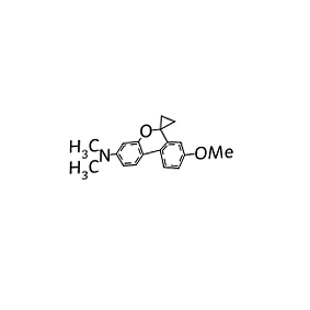 COc1ccc2c(c1)C1(CC1)Oc1cc(N(C)C)ccc1-2